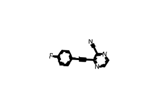 N#Cc1nccnc1C#Cc1ccc(F)cc1